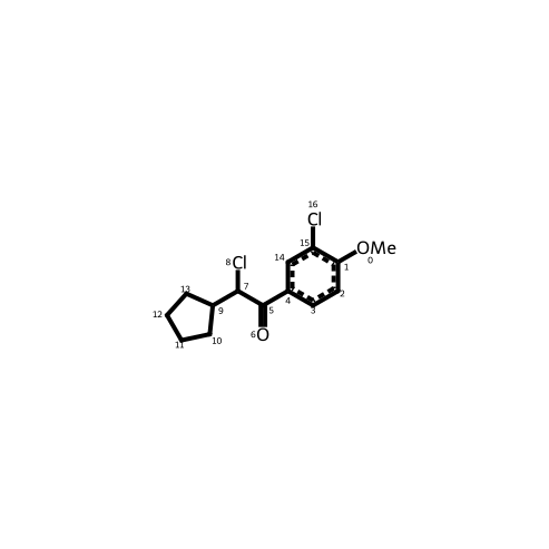 COc1ccc(C(=O)C(Cl)C2CCCC2)cc1Cl